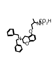 CC(CCOc1cccc2c1C[C@H](N(Cc1ccccc1)Cc1ccccc1)CO2)NC(=O)O